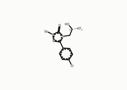 CCn1nc(-c2ccc(Cl)cc2)n(C[C@H](O)C(F)(F)F)c1=O